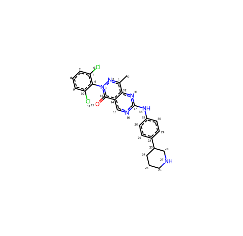 Cc1nn(-c2c(Cl)cccc2Cl)c(=O)c2cnc(Nc3ccc(C4CCCNC4)cc3)nc12